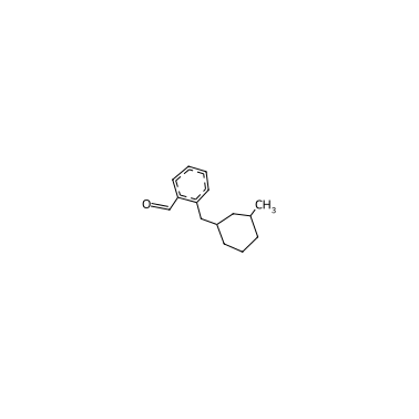 CC1CCCC(Cc2ccccc2C=O)C1